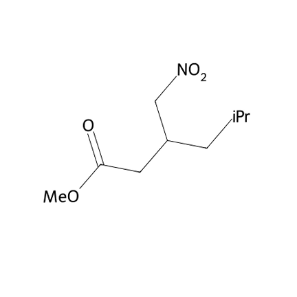 COC(=O)CC(CC(C)C)C[N+](=O)[O-]